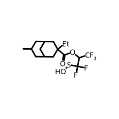 CCC1(C(=O)OC(C(F)(F)F)C(F)(F)SO)CC2CC(C)CC(C2)C1